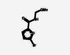 COCNC(=O)c1ccc(Br)o1